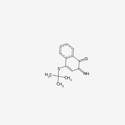 CC(C)(C)SC1=CC(=N)C(=O)c2ccccc21